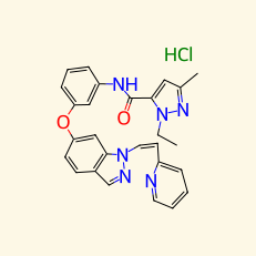 CCn1nc(C)cc1C(=O)Nc1cccc(Oc2ccc3cnn(C=Cc4ccccn4)c3c2)c1.Cl